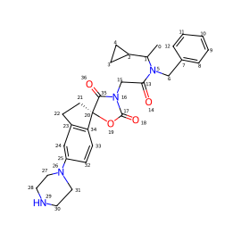 CC(C1CC1)N(Cc1ccccc1)C(=O)CN1C(=O)O[C@]2(CCc3cc(N4CCNCC4)ccc32)C1=O